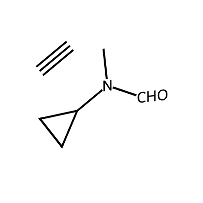 C#C.CN(C=O)C1CC1